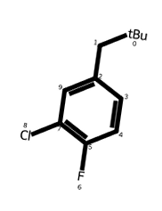 CC(C)(C)Cc1ccc(F)c(Cl)c1